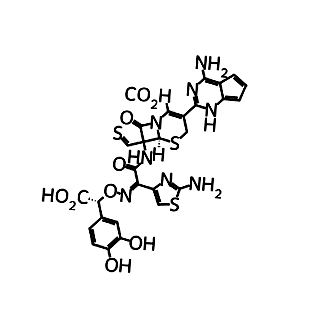 Nc1nc(/C(=N/O[C@@H](C(=O)O)c2ccc(O)c(O)c2)C(=O)NC2(C=S)C(=O)N3C(C(=O)O)=C(c4nc(N)c5cccc-5[nH]4)CS[C@H]32)cs1